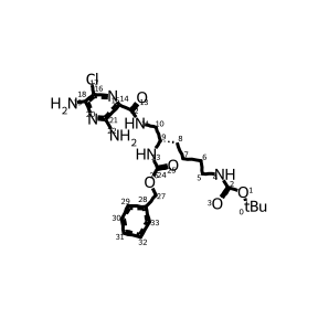 CC(C)(C)OC(=O)NCCCC[C@@H](CNC(=O)c1nc(Cl)c(N)nc1N)NC(=O)OCc1ccccc1